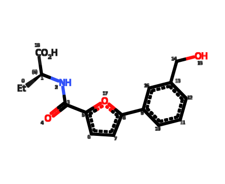 CC[C@H](NC(=O)c1ccc(-c2cccc(CO)c2)o1)C(=O)O